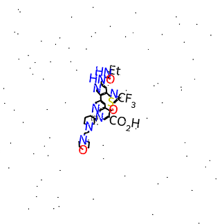 CCNC(=O)Nc1cc(-c2nc(C(F)(F)F)cs2)c(-c2cnc3c(c2)c(=O)c(C(=O)O)cn3[C@H]2CCCN(CCN3CCOCC3)C2)cn1